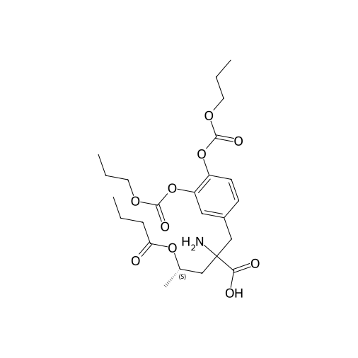 CCCOC(=O)Oc1ccc(CC(N)(C[C@H](C)OC(=O)CCC)C(=O)O)cc1OC(=O)OCCC